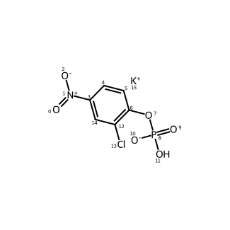 O=[N+]([O-])c1ccc(OP(=O)([O-])O)c(Cl)c1.[K+]